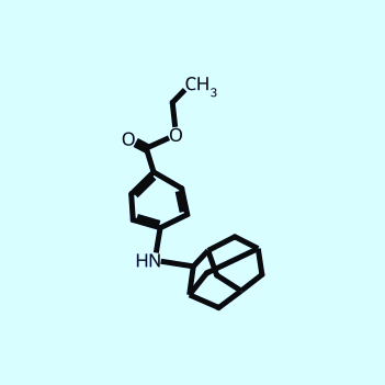 CCOC(=O)c1ccc(NC2C3CC4CC(C3)CC2C4)cc1